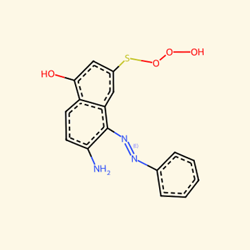 Nc1ccc2c(O)cc(SOOO)cc2c1/N=N/c1ccccc1